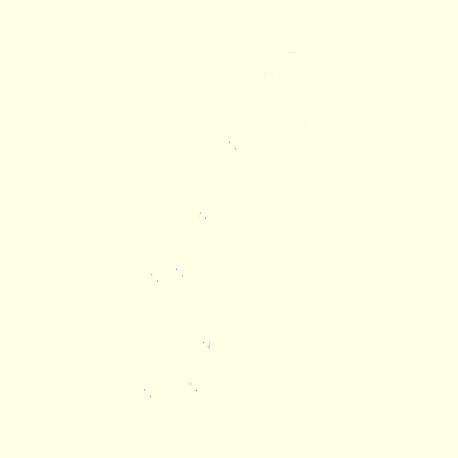 COc1c(C(=O)N2CCC(N3CC(n4cc(-c5ncnc6[nH]ccc56)cn4)C3)CC2)csc1Cl